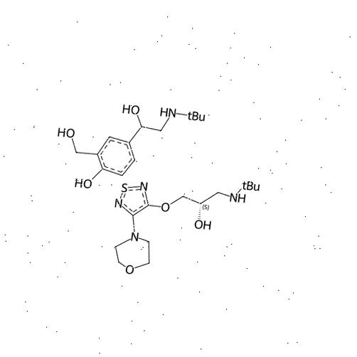 CC(C)(C)NCC(O)c1ccc(O)c(CO)c1.CC(C)(C)NC[C@H](O)COc1nsnc1N1CCOCC1